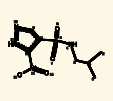 CC(C)CNS(=O)(=O)c1cn[nH]c1[N+](=O)[O-]